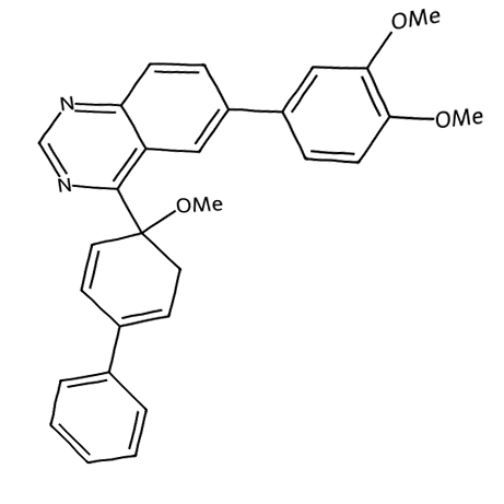 COc1ccc(-c2ccc3ncnc(C4(OC)C=CC(c5ccccc5)=CC4)c3c2)cc1OC